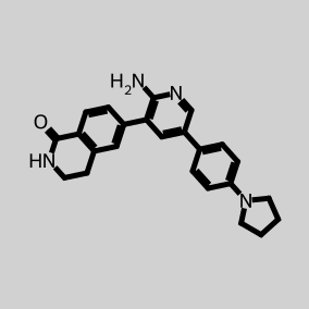 Nc1ncc(-c2ccc(N3CCCC3)cc2)cc1-c1ccc2c(c1)CCNC2=O